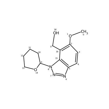 COc1ccc2nnn(C3CCCCO3)c2c1CO